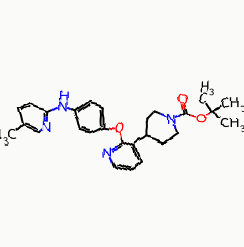 Cc1ccc(Nc2ccc(Oc3ncccc3C3CCN(C(=O)OC(C)(C)C)CC3)cc2)nc1